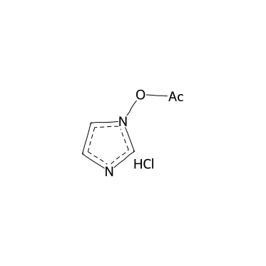 CC(=O)On1ccnc1.Cl